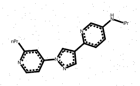 CCCc1cc(-n2cc(-c3ccc(NC(C)C)cn3)cn2)ccn1